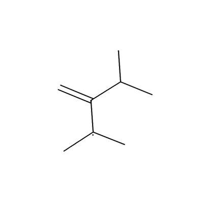 C=C([C](C)C)C(C)C